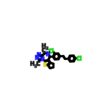 Cc1nnc2n1-c1sc3c(c1C(c1ccc(CCc4ccc(Cl)cc4)cc1Cl)=N[C@H]2C)CCC3